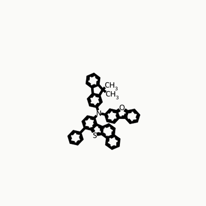 CC1(C)c2ccccc2-c2ccc(N(c3ccc4c(c3)oc3ccccc34)c3ccc(-c4ccccc4)c4sc5c6ccccc6ccc5c34)cc21